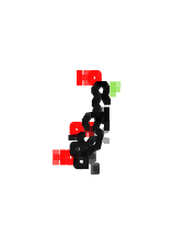 C=C1/C(=C\C=C2/CCC[C@]3(C)[C@@H]([C@@](C)(CC#CC(O)(C(F)(F)F)C(F)(F)F)CCCC(C)(C)O)CC[C@@H]23)C[C@@H](O)C[C@@H]1F